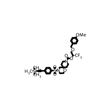 COc1ccc(COC[C@@H](OC(=O)N2CCC3(CC2)CN(S(=O)(=O)c2ccc(C#C[Si](C)(C)C)cc2)CCO3)C(F)(F)F)cc1